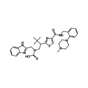 CN1CCN(c2ccccc2CNC(=O)c2csc(C(CN(Cc3nc4ccccc4[nH]3)C(=O)O)C(C)(C)C)n2)CC1